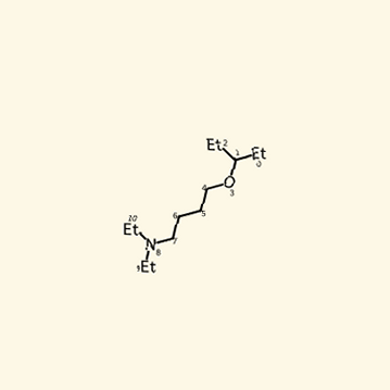 CCC(CC)OCCCCN(CC)CC